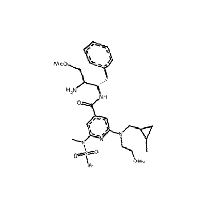 COCCN(CC1CC1C)c1cc(C(=O)N[C@@H](Cc2ccccc2)C(N)COC)cc(N(C)S(=O)(=O)C(C)C)n1